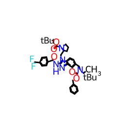 C[C@H](N(Cc1ccc2c(c1)nc(NC(=O)c1ccc(C(F)F)cc1)n2CC1CCCN1C(=O)OC(C)(C)C)C(=O)OCc1ccccc1)C(C)(C)C